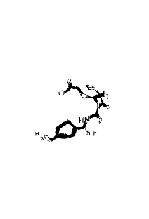 CCC[C@@H](NC(=O)N1C(=O)C(CC)(CC)[C@@H]1OCC(=O)Cl)c1ccc(C)cc1